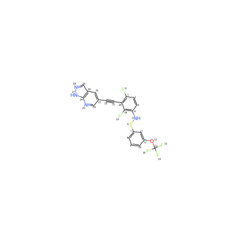 Fc1ccc(NSc2cccc(OC(F)(F)F)c2)c(F)c1C#Cc1cnc2[nH]ncc2c1